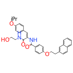 CC(C)Oc1ccc(C=C(NC(=O)c2ccc(OCCc3ccc4ccccc4c3)cc2)C(=O)NCCO)cc1